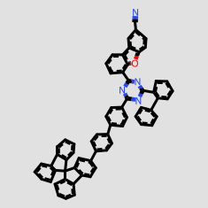 N#Cc1ccc2oc3c(-c4nc(-c5ccc(-c6ccc(-c7ccc8c(c7)C7(c9ccccc9-c9ccccc97)c7ccccc7-8)cc6)cc5)nc(-c5ccccc5-c5ccccc5)n4)cccc3c2c1